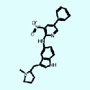 CN1CCCC1Cc1c[nH]c2ccc(Nc3ncc(-c4ccccc4)cc3[N+](=O)[O-])cc12